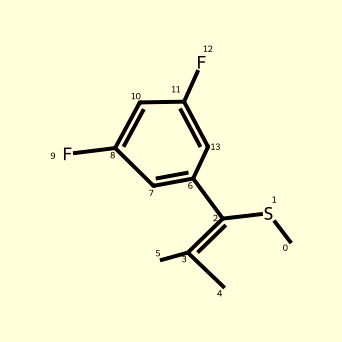 CSC(=C(C)C)c1cc(F)cc(F)c1